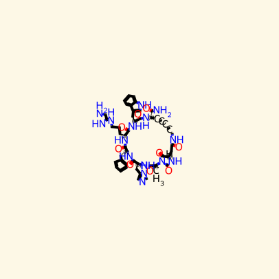 C[C@@H]1C(=O)N[C@@H](Cc2cnc[nH]2)C(=O)N[C@H](Cc2ccccc2)C(=O)N[C@@H](CCCNC(=N)CN)C(=O)N[C@@H](Cc2c[nH]c3ccccc23)C(=O)N[C@H](C(N)=O)CCCCCNC(=O)C[C@@H]2NC(=O)N1C2=O